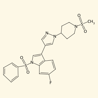 CS(=O)(=O)N1CCC(n2cc(-c3cn(S(=O)(=O)c4ccccc4)c4cc(F)ccc34)cn2)CC1